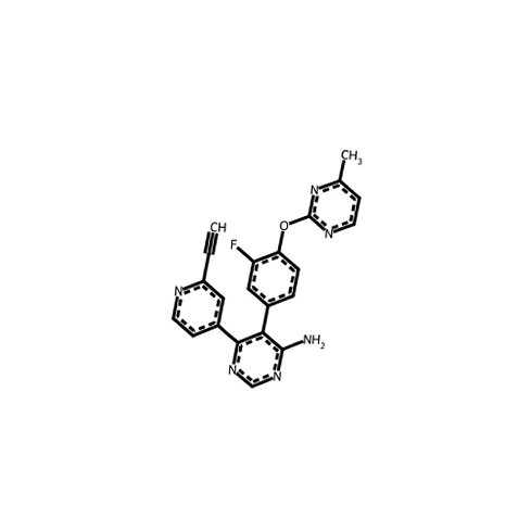 C#Cc1cc(-c2ncnc(N)c2-c2ccc(Oc3nccc(C)n3)c(F)c2)ccn1